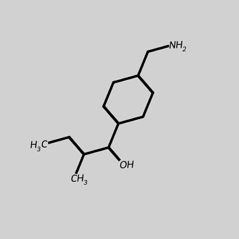 CCC(C)C(O)C1CCC(CN)CC1